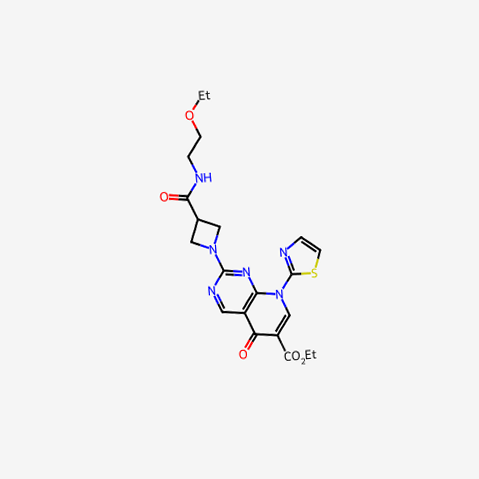 CCOCCNC(=O)C1CN(c2ncc3c(=O)c(C(=O)OCC)cn(-c4nccs4)c3n2)C1